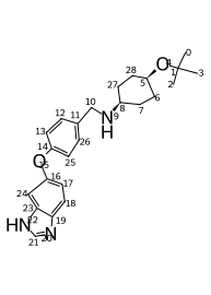 CC(C)(C)O[C@H]1CC[C@@H](NCc2ccc(Oc3ccc4nc[nH]c4c3)cc2)CC1